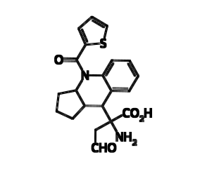 NC(CC=O)(C(=O)O)C1c2ccccc2N(C(=O)c2cccs2)C2CCCC21